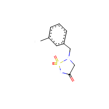 Cc1cccc(CN2CC(=O)NS2(=O)=O)c1